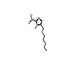 CCCCCSCc1cnc([N+](=O)[O-])n1C